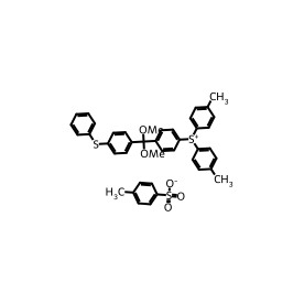 COC(OC)(c1ccc(Sc2ccccc2)cc1)c1ccc([S+](c2ccc(C)cc2)c2ccc(C)cc2)cc1.Cc1ccc(S(=O)(=O)[O-])cc1